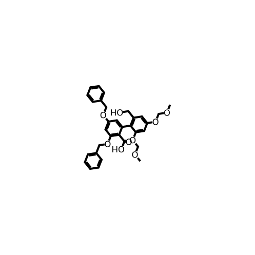 COCOc1cc(CO)c(-c2cc(OCc3ccccc3)cc(OCc3ccccc3)c2C(=O)O)c(OCOC)c1